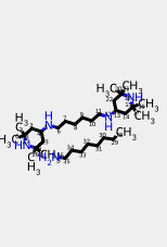 CC1(C)CC(NCCCCCCNC2CC(C)(C)NC(C)(C)C2)CC(C)(C)N1.CCCCCCCCN